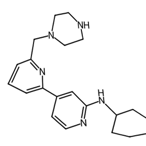 c1cc(CN2CCNCC2)nc(-c2ccnc(NC3CCCCC3)c2)c1